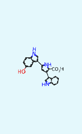 O=C(O)c1[nH]c(-c2c[nH]c3ccc(O)cc23)cc1-c1c[nH]c2ccccc12